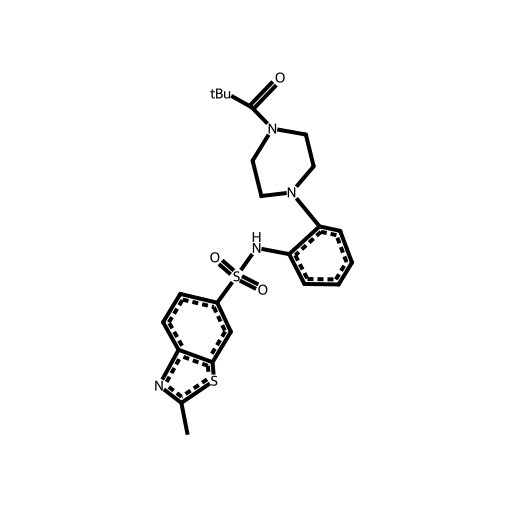 Cc1nc2ccc(S(=O)(=O)Nc3ccccc3N3CCN(C(=O)C(C)(C)C)CC3)cc2s1